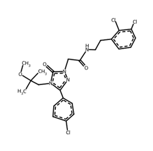 COC(C)(C)Cn1c(-c2ccc(Cl)cc2)nn(CC(=O)NCCc2cccc(Cl)c2Cl)c1=O